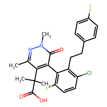 Cc1nn(C)c(=O)c(-c2c(F)ccc(Cl)c2CCc2ccc(F)cc2)c1C(C)(C)C(=O)O